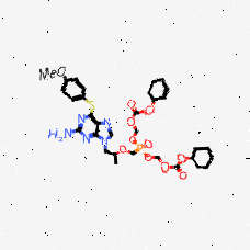 COc1ccc(Sc2nc(N)nc3c2ncn3CC(C)OCP(=O)(OCOC(=O)OC2CCCCC2)OCOC(=O)OC2CCCCC2)cc1